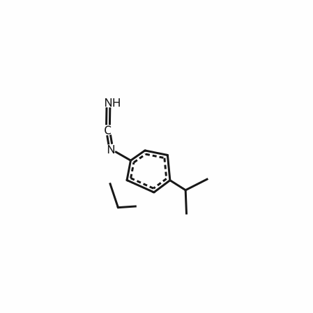 CC(C)c1ccc(N=C=N)cc1.CCC